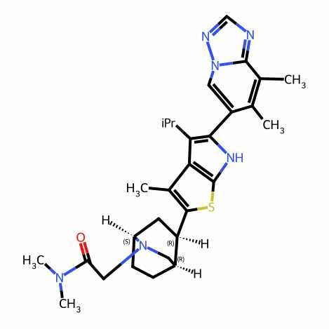 Cc1c(-c2[nH]c3sc([C@@H]4C[C@@H]5CC[C@H]4CN5CC(=O)N(C)C)c(C)c3c2C(C)C)cn2ncnc2c1C